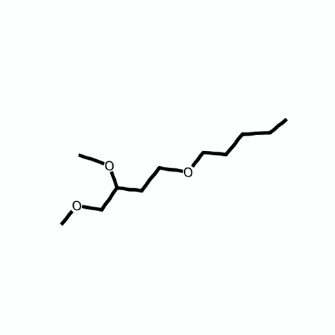 CCCCCOCCC(COC)OC